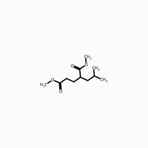 COC(=O)CCC(CC(C)C)C(=O)OC